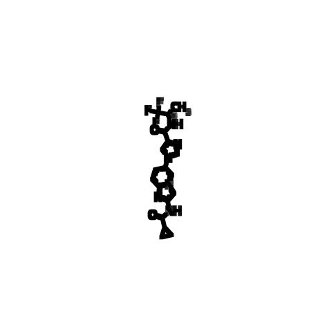 C[C@@H](NC(=O)c1cn(-c2ccc3nc(NC(=O)C4CC4)cn3c2)cn1)C(F)(F)F